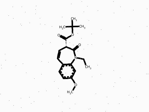 CCN1C(=O)[C@@H](C(=O)OC(C)(C)C)C=Cc2ccc(OC)cc21